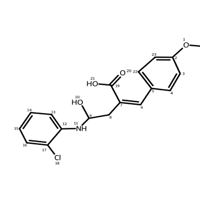 COc1ccc(C=C(CC(O)Nc2ccccc2Cl)C(=O)O)cc1